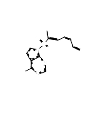 C=C/C=C\C=C(/C)S(=O)(=O)n1ccc2c(Cl)ncnc21